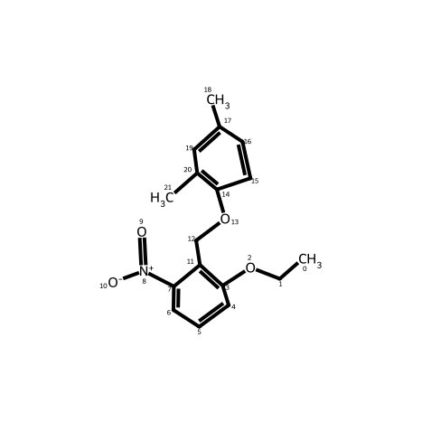 CCOc1cccc([N+](=O)[O-])c1COc1ccc(C)cc1C